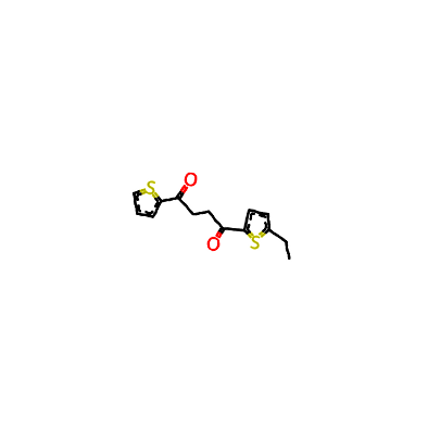 CCc1ccc(C(=O)CCC(=O)c2cccs2)s1